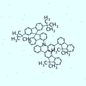 CC(C)(C)c1ccc2c(c1)C1(c3cc(C(C)(C)C)ccc3-2)c2ccccc2-c2c(N(c3cccc(-c4cccc5c4C(C)(C)c4ccccc4-5)c3)c3ccccc3-c3ccc4c(c3)C(C)(C)c3ccccc3-4)cccc21